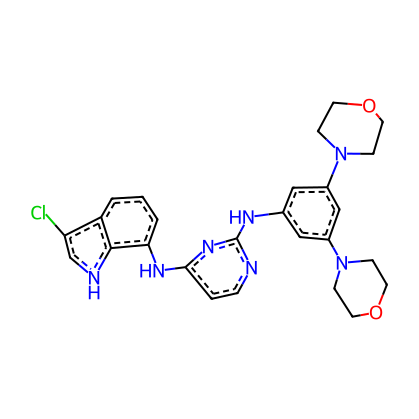 Clc1c[nH]c2c(Nc3ccnc(Nc4cc(N5CCOCC5)cc(N5CCOCC5)c4)n3)cccc12